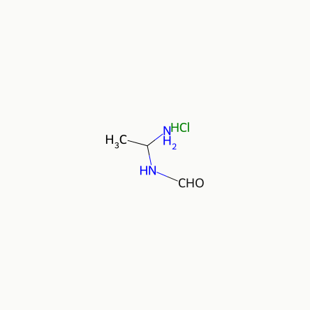 CC(N)NC=O.Cl